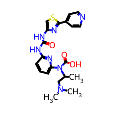 CC(CN(C)C)N(C(=O)O)c1cccc(NC(=O)Nc2csc(-c3ccncc3)n2)n1